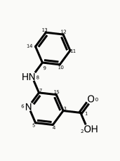 O=C(O)c1ccnc(Nc2ccccc2)c1